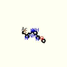 CC(=O)c1ccc(-c2cncc3[nH]c(-c4n[nH]c5ccc(-c6cncc(OC7CCCCC7)c6)cc45)cc23)s1